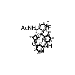 CC(=O)NC[C@H]1CCC(F)(F)CN1C(=O)c1nc(Nc2cc(OC3CCC3)ccn2)ccc1C